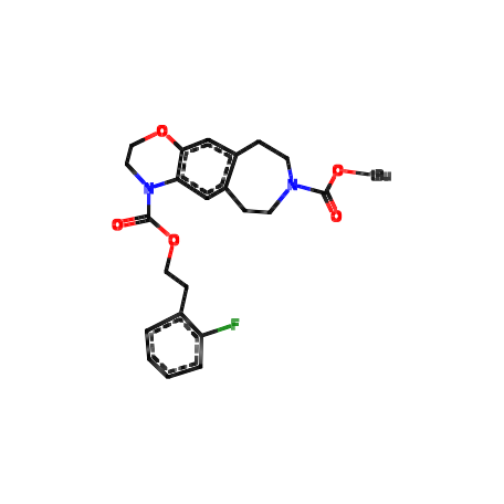 CC(C)(C)OC(=O)N1CCc2cc3c(cc2CC1)N(C(=O)OCCc1ccccc1F)CCO3